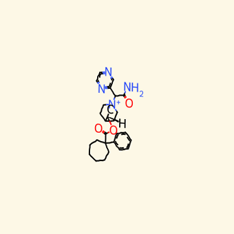 NC(=O)C(c1cnccn1)[N+]12CCC(CC1)[C@@H](OC(=O)C1(c3ccccc3)CCCCCC1)C2